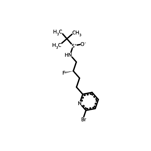 CC(C)(C)[S+]([O-])NC[C@@H](F)CCc1cccc(Br)n1